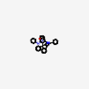 c1ccc(-c2cc3c(c(-c4ccccn4)n2)C2(c4ccccc4-3)c3ccccc3N(c3ccccc3)c3ccccc32)cc1